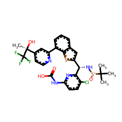 CC(C)(C)[S+]([O-])N[C@@H](c1cc2cccc(-c3cc([C@](C)(O)C(F)(F)F)ccn3)c2s1)c1nc(NC(=O)O)ccc1Cl